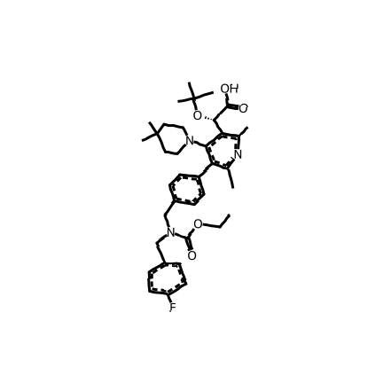 CCOC(=O)N(Cc1ccc(F)cc1)Cc1ccc(-c2c(C)nc(C)c([C@H](OC(C)(C)C)C(=O)O)c2N2CCC(C)(C)CC2)cc1